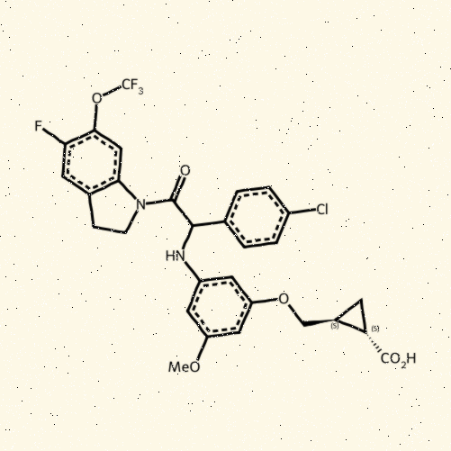 COc1cc(NC(C(=O)N2CCc3cc(F)c(OC(F)(F)F)cc32)c2ccc(Cl)cc2)cc(OC[C@H]2C[C@@H]2C(=O)O)c1